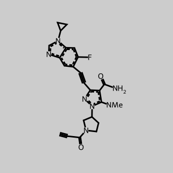 C#CC(=O)N1CCC(n2nc(C#Cc3cc4ncn(C5CC5)c4cc3F)c(C(N)=O)c2NC)C1